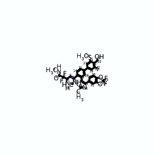 CNC(=O)C(F)(F)C(=N)/C=C(\NC)c1ccc(-c2cc(F)c(CO)c(SC)c2)cc1-c1oc(C)nc1-c1ccc2c(c1)OC(F)(F)O2